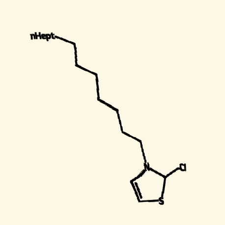 CCCCCCCCCCCCCCN1C=CSC1Cl